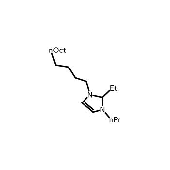 CCCCCCCCCCCCN1C=CN(CCC)C1CC